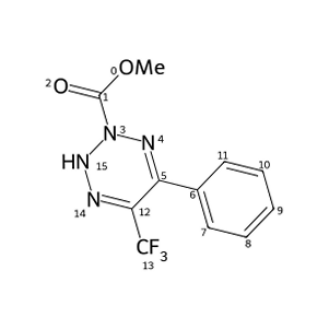 COC(=O)N1N=C(c2ccccc2)C(C(F)(F)F)=NN1